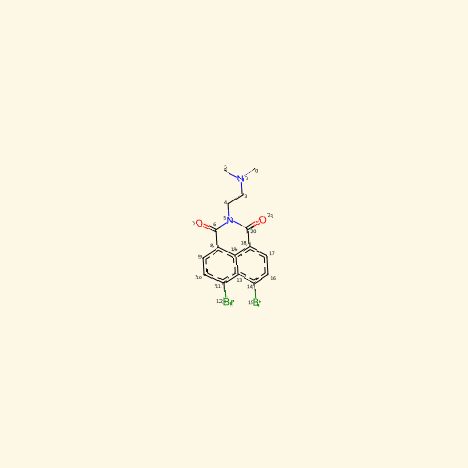 CN(C)CCN1C(=O)c2ccc(Br)c3c(Br)ccc(c23)C1=O